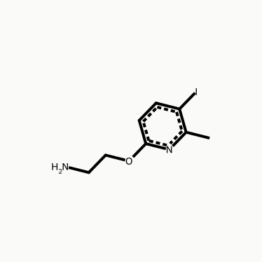 Cc1nc(OCCN)ccc1I